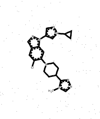 Cn1cnnc1C1CCN(c2cc3c(cnn3-c3cnn(C4CC4)c3)cc2Cl)CC1